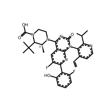 C=Cc1ccnc(C(C)C)c1-n1c(=O)nc(N2CCN(C(=O)O)C(C(C)(C)C)[C@@H]2C)c2cc(F)c(-c3c(O)cccc3F)nc21